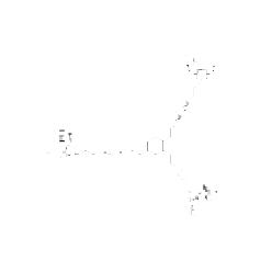 CCO[Si](CCCSCCC1CC(CCSSSSCCC[Si](OCC)(OCC)OCC)CCC1CCSSSSCCC[Si](OCC)(OCC)OCC)(OCC)OCC